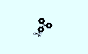 Cl[SiH](Cl)c1ccc(N(c2ccccc2)c2ccccc2)cc1